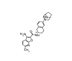 Cc1ccc2c(N)c(C(=O)N[C@H]3CCc4cc(N5CC6CCC(C5)N6)ccc4C3)oc2n1